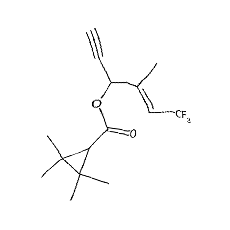 C#CC(OC(=O)C1C(C)(C)C1(C)C)C(C)=CC(F)(F)F